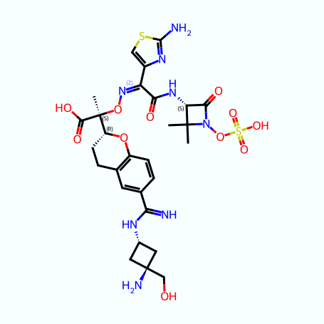 CC1(C)[C@H](NC(=O)/C(=N\O[C@](C)(C(=O)O)[C@H]2CCc3cc(C(=N)N[C@H]4C[C@@](N)(CO)C4)ccc3O2)c2csc(N)n2)C(=O)N1OS(=O)(=O)O